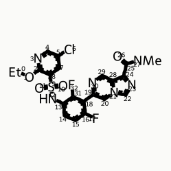 CCOc1ncc(Cl)cc1S(=O)(=O)Nc1ccc(F)c(-c2cn3cnc(C(=O)NC)c3cn2)c1F